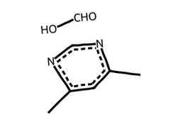 Cc1cc(C)ncn1.O=CO